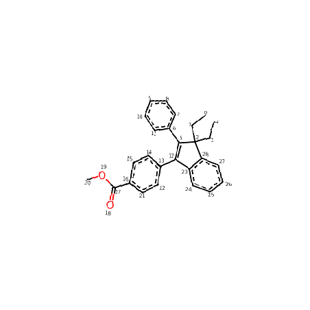 CCC1(CC)C(c2ccccc2)=C(c2ccc(C(=O)OC)cc2)c2ccccc21